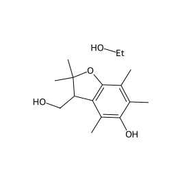 CCO.Cc1c(C)c2c(c(C)c1O)C(CO)C(C)(C)O2